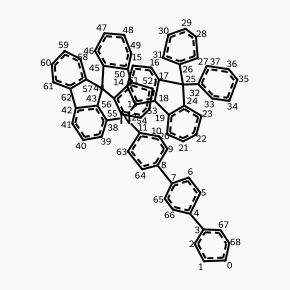 c1ccc(-c2ccc(-c3ccc(N(c4cccc5c4-c4ccccc4C5(c4ccccc4)c4ccccc4)c4cccc5c4C4(c6ccccc6-c6ccccc64)c4ccccc4-5)cc3)cc2)cc1